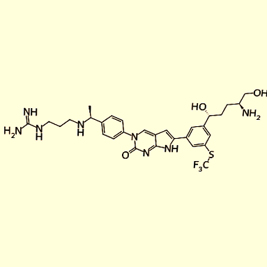 C[C@H](NCCCNC(=N)N)c1ccc(-n2cc3cc(-c4cc(SC(F)(F)F)cc([C@H](O)CC[C@H](N)CO)c4)[nH]c3nc2=O)cc1